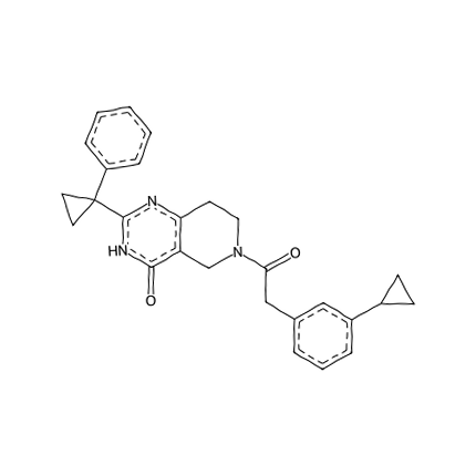 O=C(Cc1cccc(C2CC2)c1)N1CCc2nc(C3(c4ccccc4)CC3)[nH]c(=O)c2C1